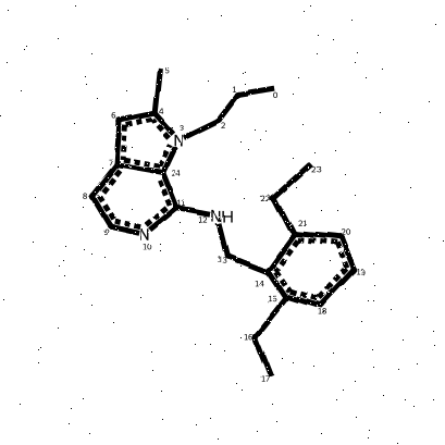 CCCn1c(C)cc2ccnc(NCc3c(CC)cccc3CC)c21